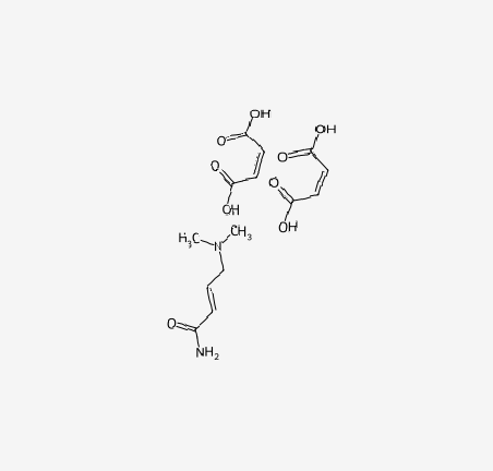 CN(C)CC=CC(N)=O.O=C(O)/C=C\C(=O)O.O=C(O)/C=C\C(=O)O